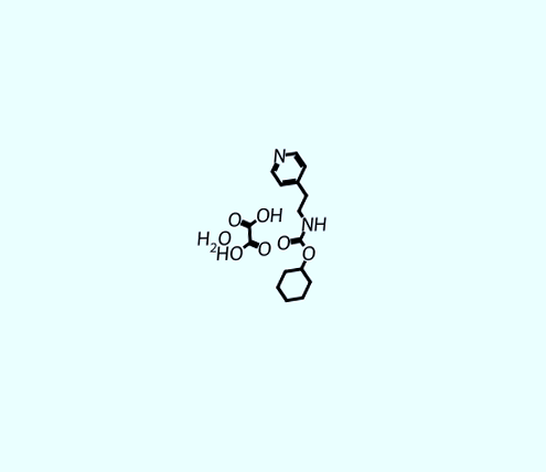 O.O=C(NCCc1ccncc1)OC1CCCCC1.O=C(O)C(=O)O